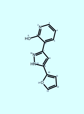 Oc1ncccc1-c1cc(-c2ccco2)[nH]n1